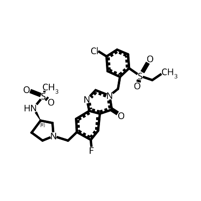 CCS(=O)(=O)c1ccc(Cl)cc1Cn1cnc2cc(CN3CC[C@@H](NS(C)(=O)=O)C3)c(F)cc2c1=O